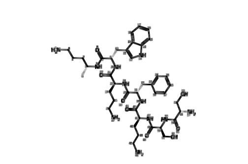 C[C@H](CCCN)NC(=O)[C@H](Cc1c[nH]c2ccccc12)NC(=O)[C@H](CCCN)NC(=O)[C@H](Cc1ccccc1)NC(=O)[C@H](CCCN)NC(=O)[C@H](CO)NC(=O)[C@@H](N)CO